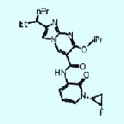 CCCC(CC)c1cn2cc(C(=O)Nc3cccn([C@@H]4C[C@@H]4F)c3=O)c(OC(C)C)nc2n1